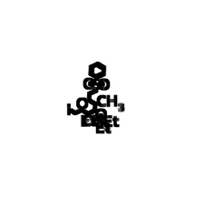 CC[Si](CC)(CC)OC1C(C)C(CI)OC(CCS(=O)(=O)c2ccccc2)C1C